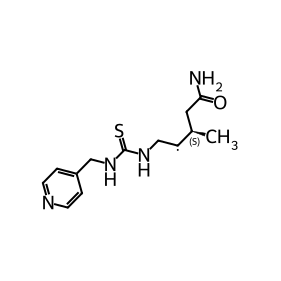 C[C@@H]([CH]CNC(=S)NCc1ccncc1)CC(N)=O